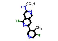 Cc1c(F)cncc1-c1cc2cnc(NC(=O)O)cc2c(Cl)n1